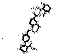 C[C@H](NC(=O)c1ccc2c(c1)CCCN2Cc1ccc(-c2ccccc2C(=O)O)cc1)c1c(F)cccc1F